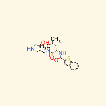 CC(C)C[C@H](NC(=O)c1cc2ccccc2s1)C(=O)NC[C@H]1CNC[C@H]1O